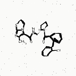 Cc1nc2sccn2c1C(=O)NC[C@@H]1CCCN1C(=O)c1ccccc1-c1ccccc1Cl